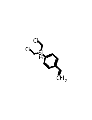 C=Cc1ccc([SiH](CCl)CCl)cc1